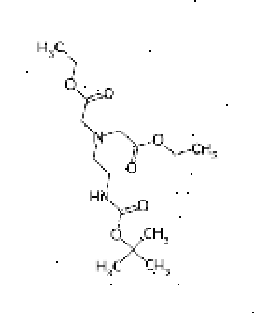 CCOC(=O)CN(CCNC(=O)OC(C)(C)C)CC(=O)OCC